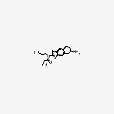 CCCN(C(=O)CC)c1nc2cc3c(cc2s1)CC(N)CC3